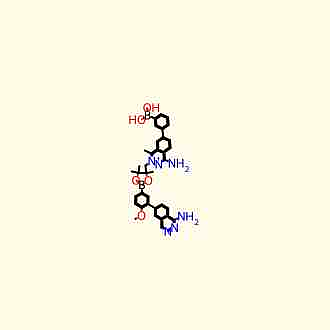 COc1ccc(B2OC(C)(C)C(C)(C[n+]3nc(N)c4ccc(-c5cccc(B(O)O)c5)cc4c3C)O2)cc1-c1ccc2c(N)nncc2c1